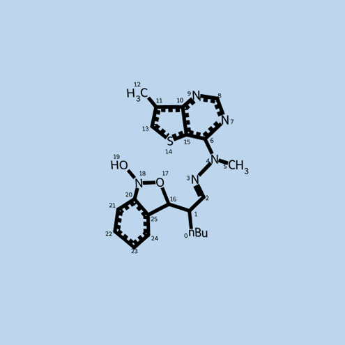 CCCCC(/C=N/N(C)c1ncnc2c(C)csc12)C1ON(O)c2ccccc21